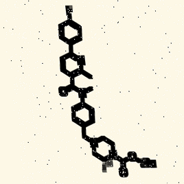 Cc1nc(-c2ccc(F)cc2)ccc1C(=O)N(C)c1ccc(CN2CCN(C(=O)OC(C)(C)C)[C@H](C)C2)cc1